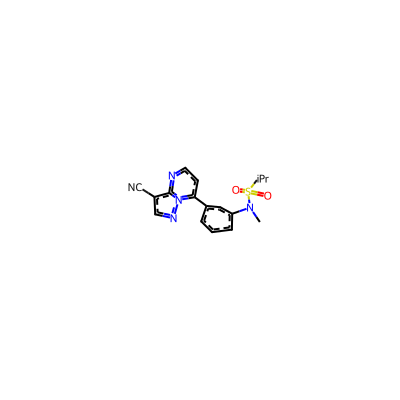 CC(C)S(=O)(=O)N(C)c1cccc(-c2ccnc3c(C#N)cnn23)c1